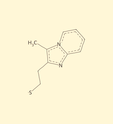 Cc1c(CC[S])nc2ccccn12